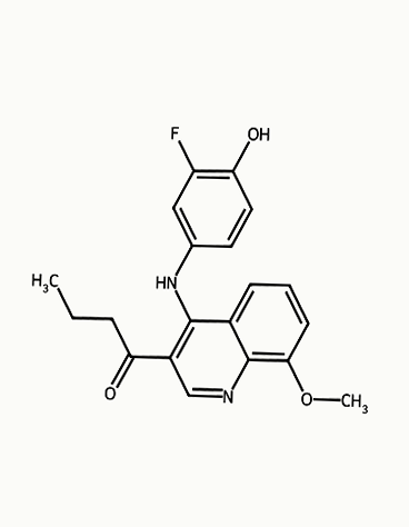 CCCC(=O)c1cnc2c(OC)cccc2c1Nc1ccc(O)c(F)c1